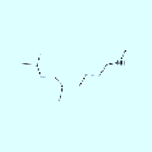 CNCCCCC(C)CCC(C)C